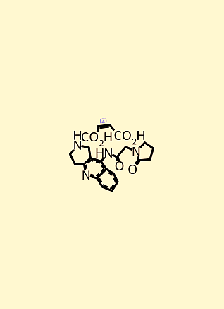 O=C(CN1CCCC1=O)Nc1c2c(nc3ccccc13)CCNC2.O=C(O)/C=C\C(=O)O